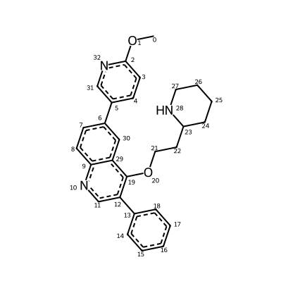 COc1ccc(-c2ccc3ncc(-c4ccccc4)c(OCCC4CCCCN4)c3c2)cn1